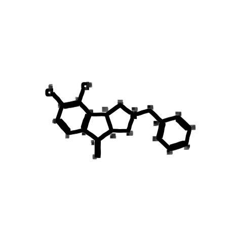 C=C1c2ccc(Cl)c(Cl)c2C2CN(Cc3ccccc3)CC12